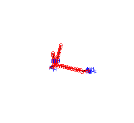 CCN(CC)c1ccc2cc(C(=O)NC(COCCC(=O)CCCOCCOCCOCCOCCOCCOCCOCCOCCOCCOCCOCCOCCC(=O)CCc3ccc(COc4nc(N)nc5[nH]cnc45)cc3)(COCCC(=O)NCCOCCOCCOCCOC)COCCC(=O)NCCOCCOCCOCCOCCOCCOCCOCCOC)c(=O)oc2c1